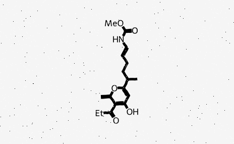 C=C1OC(C(C)CC/C=C/NC(=O)OC)=CC(O)=C1C(=O)CC